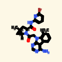 C[C@@]12C[C@@H](C(=O)Nc3cccc(Br)n3)N(C(=O)Cn3c4ncnc(N)c4c4cccc(C(=O)O)c43)[C@@H]1C2